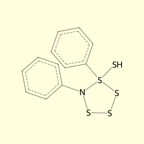 SS1(c2ccccc2)SSSN1c1ccccc1